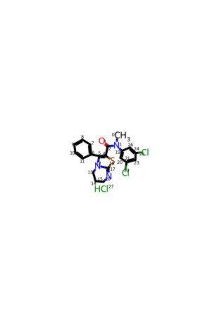 CN(C(=O)C1=C(c2ccccc2)N2CCCN=C2S1)c1cc(Cl)cc(Cl)c1.Cl